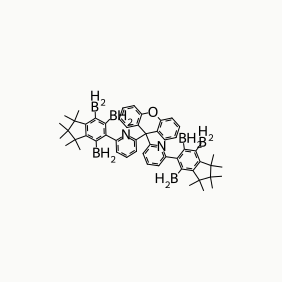 Bc1c(B)c2c(c(B)c1-c1cccc(C3(c4cccc(-c5c(B)c(B)c6c(c5B)C(C)(C)C(C)(C)C6(C)C)n4)c4ccccc4Oc4ccccc43)n1)C(C)(C)C(C)(C)C2(C)C